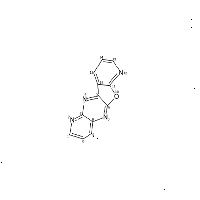 c1cnc2nc3c(nc2c1)oc1ncccc13